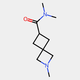 CN1CC2(CC(C(=O)N(C)C)C2)C1